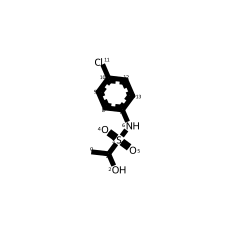 CC(O)S(=O)(=O)Nc1ccc(Cl)cc1